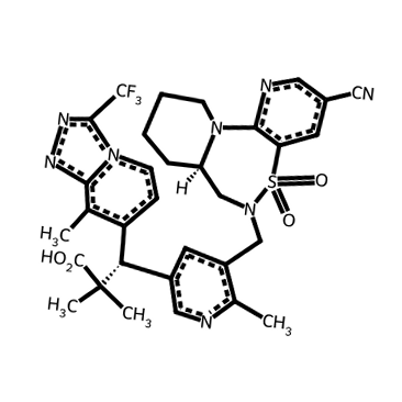 Cc1ncc([C@@H](c2ccn3c(C(F)(F)F)nnc3c2C)C(C)(C)C(=O)O)cc1CN1C[C@H]2CCCCN2c2ncc(C#N)cc2S1(=O)=O